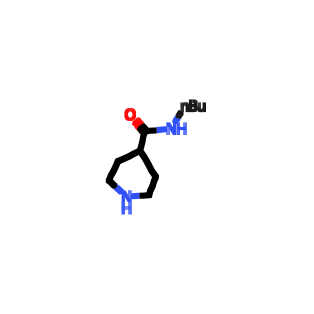 CCCCNC(=O)C1CCNCC1